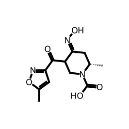 Cc1cc(C(=O)C2CN(C(=O)O)[C@@H](C)C/C2=N\O)no1